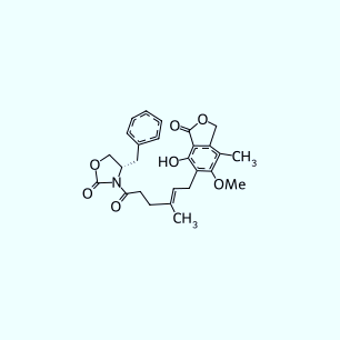 COc1c(C)c2c(c(O)c1C/C=C(\C)CCC(=O)N1C(=O)OC[C@@H]1Cc1ccccc1)C(=O)OC2